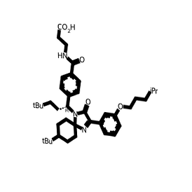 CC(C)CCCOc1cccc(C2=NC3(CCC(C(C)(C)C)CC3)N([C@H](CCC(C)(C)C)c3ccc(C(=O)NCCC(=O)O)cc3)C2=O)c1